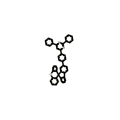 c1ccc(-c2cc(-c3ccc(-c4ccc5c(c4)C4(c6ccccc6Oc6ccccc64)c4ccccc4-5)cc3)nc(-c3ccccc3)n2)cc1